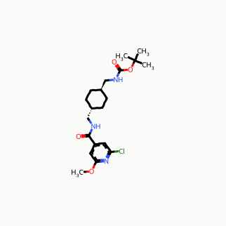 COc1cc(C(=O)NC[C@H]2CC[C@H](CNC(=O)OC(C)(C)C)CC2)cc(Cl)n1